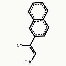 N#C/C(=C\C=O)c1ccc2ccccc2c1